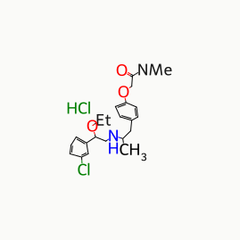 CCOC(CNC(C)Cc1ccc(OCC(=O)NC)cc1)c1cccc(Cl)c1.Cl